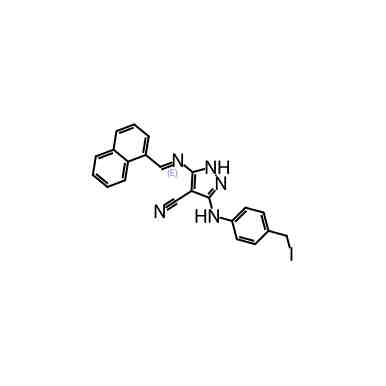 N#Cc1c(Nc2ccc(CI)cc2)n[nH]c1/N=C/c1cccc2ccccc12